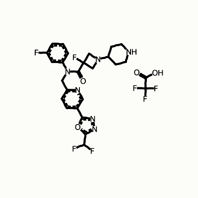 O=C(N(Cc1ccc(-c2nnc(C(F)F)o2)cn1)c1cccc(F)c1)C1(F)CN(C2CCNCC2)C1.O=C(O)C(F)(F)F